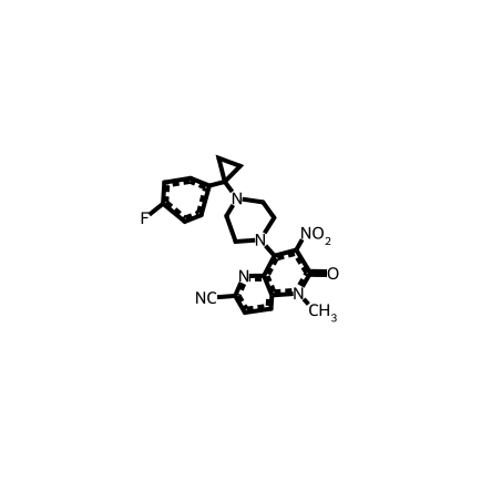 Cn1c(=O)c([N+](=O)[O-])c(N2CCN(C3(c4ccc(F)cc4)CC3)CC2)c2nc(C#N)ccc21